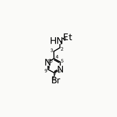 CCNCCc1cnc(Br)cn1